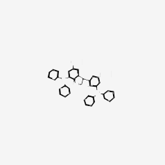 Cc1cc2c(c(P(c3ccccc3)c3ccccc3)c1)OC1Oc3c(cc(C)cc3P(c3ccccc3)c3ccccc3)C21